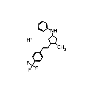 CC1CC(Nc2ccccc2)CC1C=Cc1ccc(C(F)(F)F)cc1.[H+]